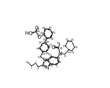 CCCCc1nc2ccc(N(CC3CCCCC3)C(C)=O)cc2n1Cc1ccc(-c2ccccc2OC(=O)O)cc1